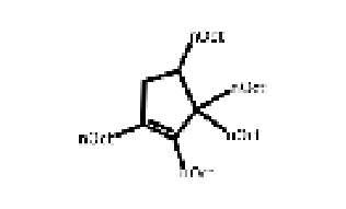 CCCCCCCCC1=C(CCCCCCCC)C(CCCCCCCC)(CCCCCCCC)C(CCCCCCCC)C1